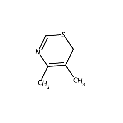 CC1=C(C)N=CSC1